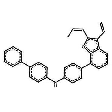 C=Cc1c(/C=C\C)oc2c(-c3ccc(Nc4ccc(-c5ccccc5)cc4)cc3)cccc12